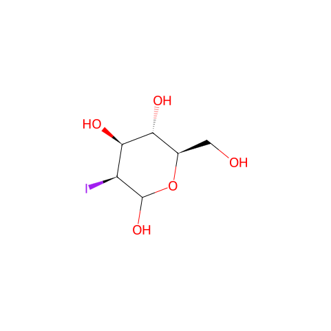 OC[C@H]1OC(O)[C@@H](I)[C@@H](O)[C@@H]1O